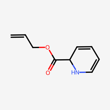 C=CCOC(=O)C1C=CC=CN1